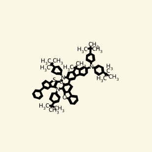 CC(C)(C)c1ccc(N2B3c4sc5ccc(-c6ccccc6)cc5c4N(c4ccc(C(C)(C)C)cc4)c4c3c(cc3c4oc4ccccc43)-c3cc4c(cc32)C(C)(C)c2cc(N(c3ccc(C(C)(C)C)cc3)c3ccc(C(C)(C)C)cc3)ccc2-4)cc1